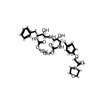 CC(C)(C)OC(=O)N[C@@H](Cc1ccccc1)[C@H](O)CNC[C@@H](O)[C@H](Cc1ccc(OCC(=O)N2CCOCC2)cc1)NC(=O)OC(C)(C)C